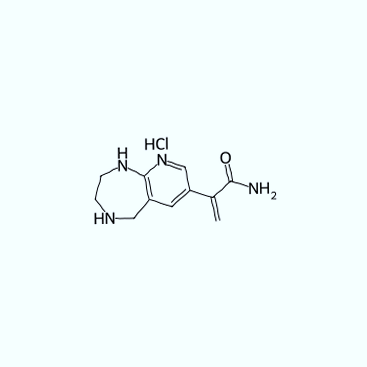 C=C(C(N)=O)c1cnc2c(c1)CNCCN2.Cl